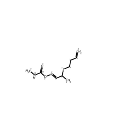 C=CCCSC(C)/C=N/OC(=O)NC